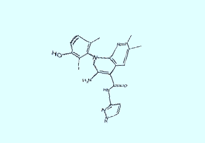 Cc1cc2c(C(=O)Nc3cc[nH]n3)c(N)n(-c3c(C)ccc(O)c3C)c2nc1C